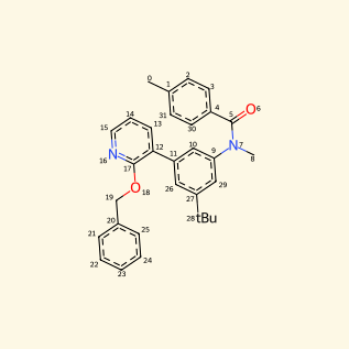 Cc1ccc(C(=O)N(C)c2cc(-c3cccnc3OCc3ccccc3)cc(C(C)(C)C)c2)cc1